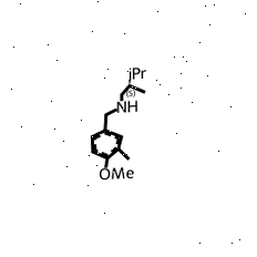 COc1ccc(CNC[C@@H](C)C(C)C)cc1C